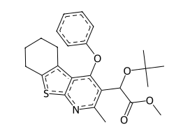 COC(=O)C(OC(C)(C)C)c1c(C)nc2sc3c(c2c1Oc1ccccc1)CCCC3